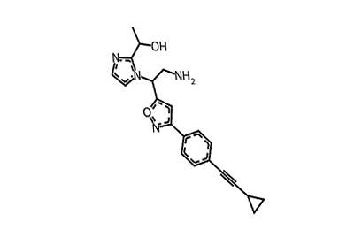 CC(O)c1nccn1C(CN)c1cc(-c2ccc(C#CC3CC3)cc2)no1